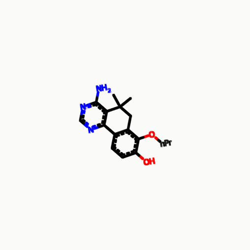 CCCOc1c(O)ccc2c1CC(C)(C)c1c(N)ncnc1-2